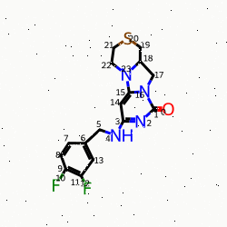 O=c1nc(NCc2ccc(F)c(F)c2)cc2n1CC1CSCCN21